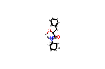 COC(Cc1ccccc1)C(=O)N(C)c1ccccc1